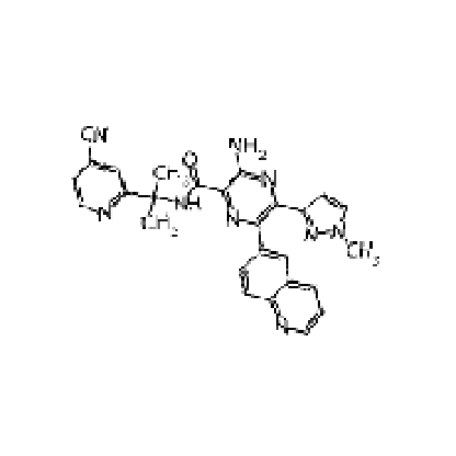 Cn1ccc(-c2nc(N)c(C(=O)NC(C)(C)c3cc(C#N)ccn3)nc2-c2ccc3ncccc3c2)n1